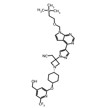 C[Si](C)(C)CCOCn1ccc2c(-c3cnn(C4(CC#N)CN([C@H]5CC[C@H](Oc6cc(CO)cc(C(F)(F)F)n6)CC5)C4)c3)ncnc21